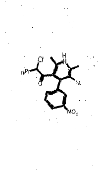 CCCC(Cl)C(=O)C1=C(C)NC(C)=C(C(C)=O)C1c1cccc([N+](=O)[O-])c1